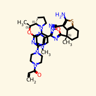 C=CC(=O)N1CCN(c2cc(-c3noc([C@@]4(C)CCCc5sc(N)c(C#N)c54)n3)nc(O[C@@H](C)[C@@H]3CCCN3C3CCN(C)CC3)n2)CC1